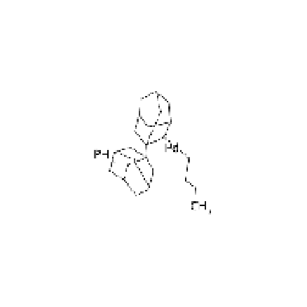 CCC[CH2][Pd][CH]1C2CC3CC(C2)CC1(C12CC4CC(CC(C4)C1)C2)C3.P